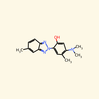 Cc1ccc2nn(-c3cc(C)c(N(C)C)cc3O)nc2c1